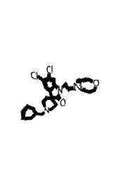 O=C1N(CCN2CCOCC2)c2cc(Cl)c(Cl)cc2C12CCN(CC1CCCCC1)CC2